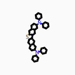 c1ccc(N(c2ccccc2)c2ccc3cc4sc5cc6ccc(N(c7ccccc7)c7ccccc7)cc6cc5c4cc3c2)cc1